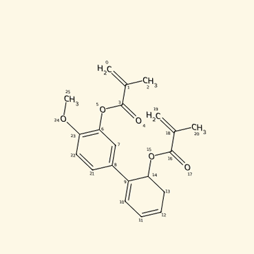 C=C(C)C(=O)Oc1cc(C2=CC=CCC2OC(=O)C(=C)C)ccc1OC